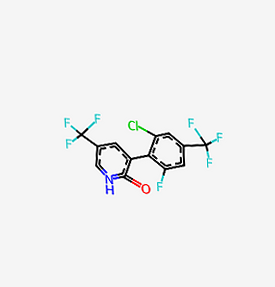 O=c1[nH]cc(C(F)(F)F)cc1-c1c(F)cc(C(F)(F)F)cc1Cl